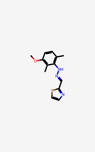 COc1ccc(C)c(N/N=C/c2nccs2)c1C